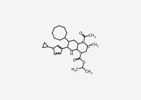 CC(=O)N1C2CC(C3CCCCCCC3)C(c3cnn(C4CC4)c3)NC2N(C(=O)OC(C)C)C[C@@H]1C